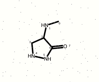 CNC1CNNC1=O